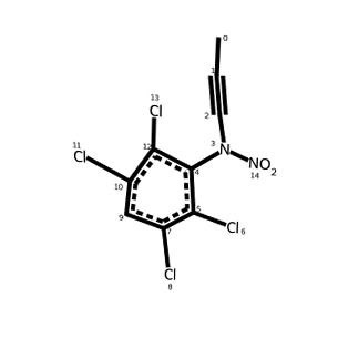 CC#CN(c1c(Cl)c(Cl)cc(Cl)c1Cl)[N+](=O)[O-]